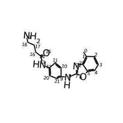 Cc1cccc2oc(Nc3ccc(NC(=O)CCCN)cc3)nc12